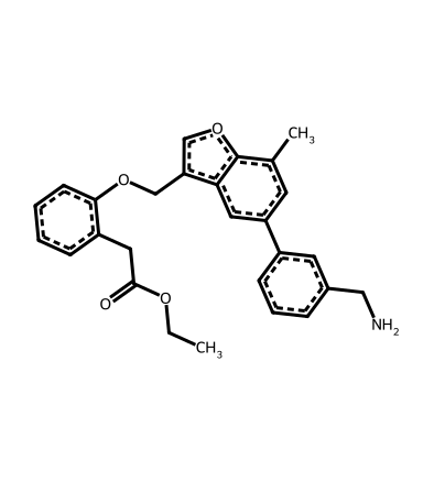 CCOC(=O)Cc1ccccc1OCc1coc2c(C)cc(-c3cccc(CN)c3)cc12